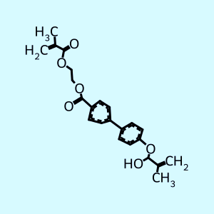 C=C(C)C(=O)OCCOC(=O)c1ccc(-c2ccc(OC(O)C(=C)C)cc2)cc1